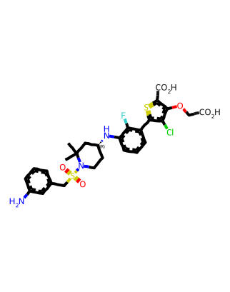 CC1(C)C[C@H](Nc2cccc(-c3sc(C(=O)O)c(OCC(=O)O)c3Cl)c2F)CCN1S(=O)(=O)Cc1cccc(N)c1